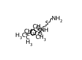 Cc1cc(C(C)(C)C)cc(C)c1S(=O)(=O)NCCSCCN